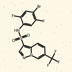 O=S(=O)(Nc1cc(F)c(Br)cc1F)c1cnn2cc(C(F)(F)F)ccc12